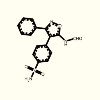 NS(=O)(=O)c1ccc(-c2c(-c3ccccc3)noc2NC=O)cc1